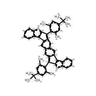 Cc1cc(C(C)(C)C)cc(C)c1C1=c2cc3cc4c(cc3cc2-c2c1oc1ccccc21)=C(c1c(C)cc(C(C)(C)C)cc1C)c1oc2ccccc2c1-4